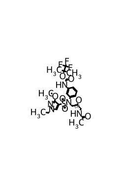 CCn1cc(S(=O)(=O)N2C[C@H](CNC(C)=O)Oc3ccc(NC(=O)OC(C)(C)C(F)(F)F)cc32)c(OC)n1